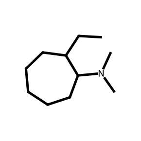 CCC1CCCCCC1N(C)C